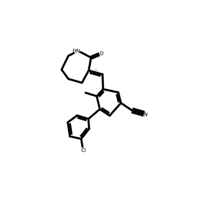 Cc1c(/C=C2\CCCCNC2=O)cc(C#N)cc1-c1cccc(Cl)c1